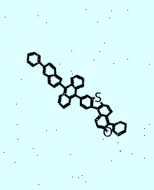 C1=Cc2oc3ccc4c(ccc5sc6cc(-c7c8ccccc8c(-c8ccc9cc(-c%10ccccc%10)ccc9c8)c8ccccc78)ccc6c54)c3c2CC1